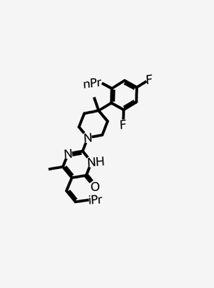 CCCc1cc(F)cc(F)c1C1(C)CCN(c2nc(C)c(/C=C\C(C)C)c(=O)[nH]2)CC1